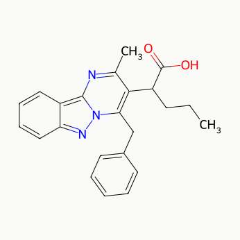 CCCC(C(=O)O)c1c(C)nc2c3ccccc3nn2c1Cc1ccccc1